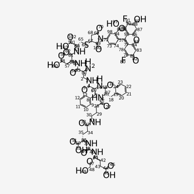 N[C@@H](CNC(=O)[C@H](Cc1ccccc1)NC(=O)[C@H](Cc1ccccc1)NC(=O)CCCNC(=O)CC[C@H](NC(=O)N[C@@H](CCC(=O)O)OCO)C(=O)O)C(=O)N[C@@H](CC(=O)O)C(=O)N[C@@H](CSC1CC(=O)N(c2ccc(-c3c4cc(F)c(=O)cc-4oc4cc(O)c(F)cc34)c(C(=O)O)c2)C1=O)C(=O)O